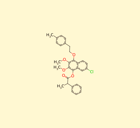 COc1c(OC)c(OC(=O)C(C)c2ccccc2)c2cc(Cl)ccc2c1OCCc1ccc(C)cc1